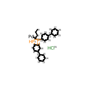 CCC[C]([Pd])(Pc1ccc(-c2ccccc2)cc1)Pc1ccc(-c2ccccc2)cc1.Cl